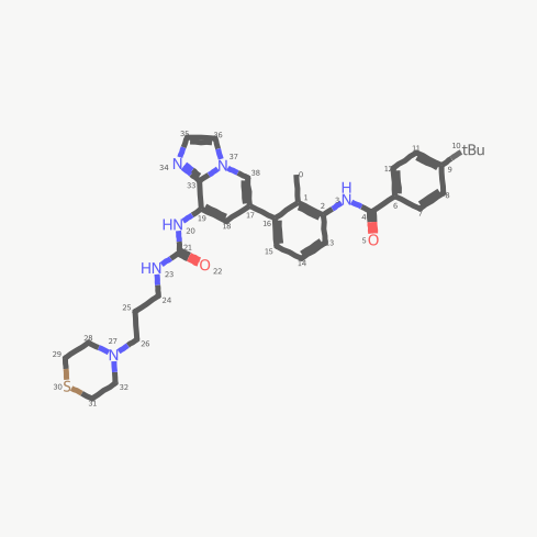 Cc1c(NC(=O)c2ccc(C(C)(C)C)cc2)cccc1-c1cc(NC(=O)NCCCN2CCSCC2)c2nccn2c1